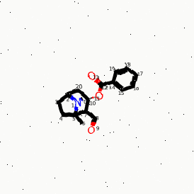 CN1C2CCC1(C)C(C=O)[C@@H](OC(=O)c1ccccc1)C2